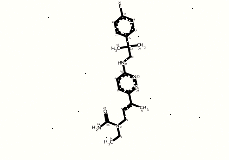 CCN(C/C=C(\C)c1ccc(NCC(C)(C)c2ccc(F)cc2)nn1)C(N)=O